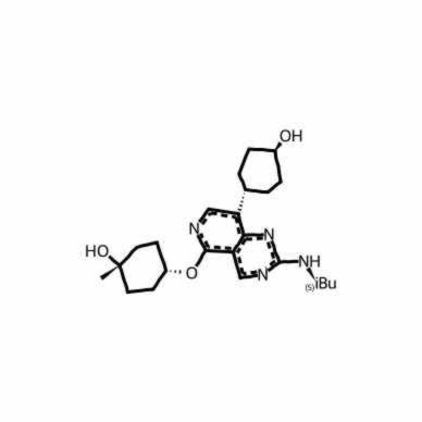 CC[C@H](C)Nc1ncc2c(O[C@H]3CC[C@@](C)(O)CC3)ncc([C@H]3CC[C@H](O)CC3)c2n1